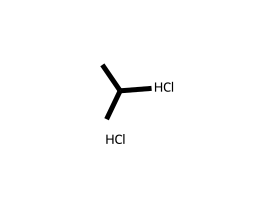 CC(C)C.Cl.Cl